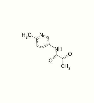 CC(=O)C(=O)Nc1ccc(C)nc1